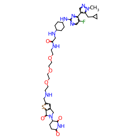 Cn1ncc(-c2nc(N[C@H]3CC[C@H](NCC(=O)NCCOCCOCCOCCNCc4cc5c(s4)C(=O)N(C4CCC(=O)NC4=O)C5)CC3)ncc2F)c1CC1CC1